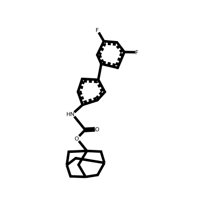 O=C(Nc1ccc(-c2cc(F)cc(F)c2)cc1)OC12CC3CC(CC(C3)C1)C2